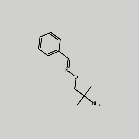 CC(C)(N)CO/N=C/c1ccccc1